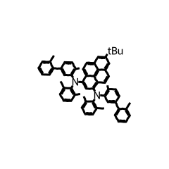 Cc1ccccc1-c1ccc(C)c(N(c2c(C)cccc2C)c2cc(N(c3cc(-c4ccccc4C)ccc3C)c3c(C)cccc3C)c3ccc4cc(C(C)(C)C)cc5ccc2c3c54)c1